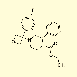 CCOC(=O)[C@@H]1CCN(C2(c3ccc(F)cc3)COC2)C[C@H]1c1ccccc1